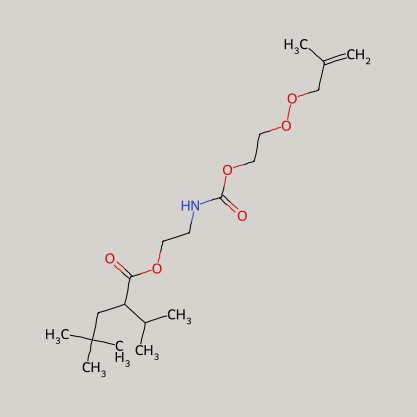 C=C(C)COOCCOC(=O)NCCOC(=O)C(CC(C)(C)C)C(C)C